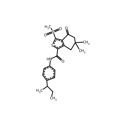 CCC(C)c1ccc(NC(=O)c2sc(S(C)(=O)=O)c3c2CC(C)(C)CC3=O)cc1